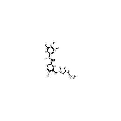 Cc1cc([C@@H](C)Nc2ccc(Cl)c(CN3CC[C@@H](OC(=O)O)C3)c2)cc(C)c1Cl